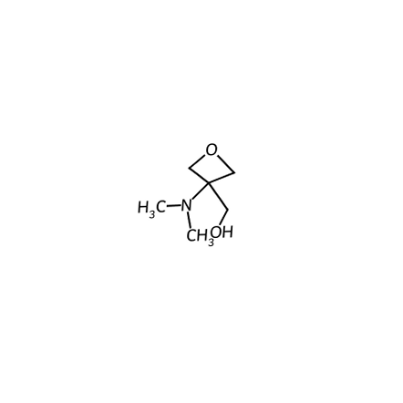 CN(C)C1(CO)COC1